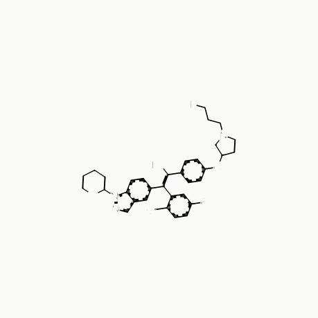 CC/C(=C(\c1ccc2c(cnn2C2CCCCO2)c1)c1cc(F)ccc1Cl)c1ccc(OC2CCN(CCCF)C2)cc1